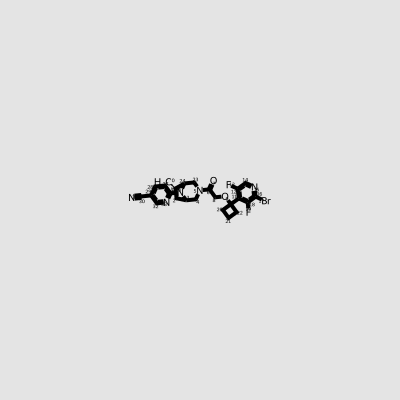 C[C@H]1CC2CN(C(=O)COC3(c4c(F)cnc(Br)c4F)CCC3)CC1N2c1ccc(C#N)cn1